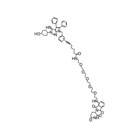 N=c1c2c(-c3ccccc3)c(-c3ccccc3)n(Cc3cccc(C#CCCCCC(=O)NCCOCCOCCOCCOCCOCCNc4cccc5c4C(=O)N(C4CCC(=O)NC4=O)C5=O)c3)c2ncn1C1CCC(O)CC1